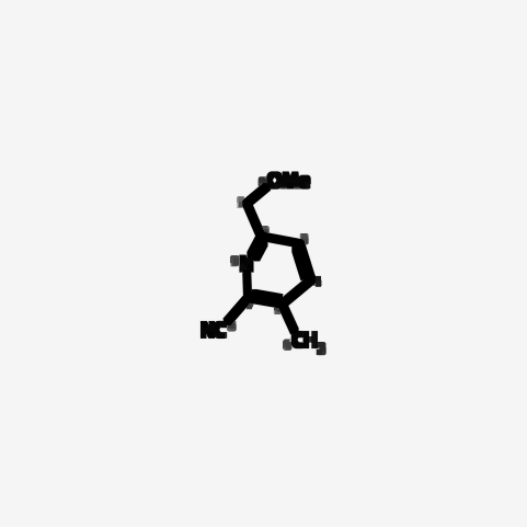 COCc1ccc(C)c(C#N)n1